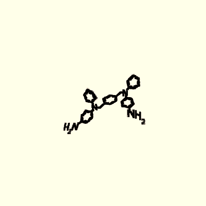 Nc1ccc(N(Cc2ccc(CN(c3ccccc3)c3ccc(N)cc3)cc2)c2ccccc2)cc1